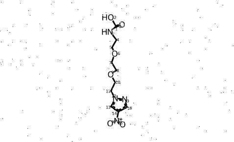 O=C(O)NCCOCCOCCn1cc([N+](=O)[O-])cn1